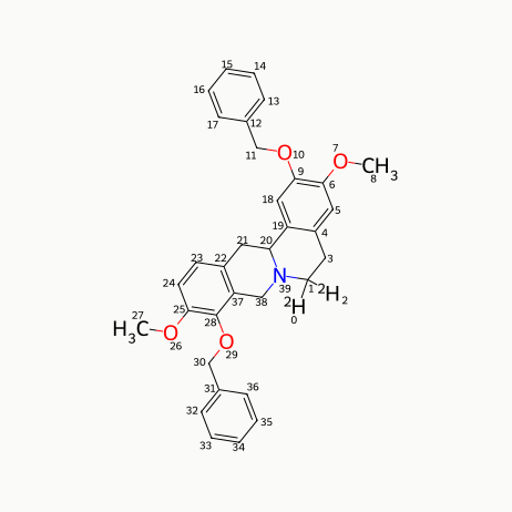 [2H]C1([2H])Cc2cc(OC)c(OCc3ccccc3)cc2C2Cc3ccc(OC)c(OCc4ccccc4)c3CN21